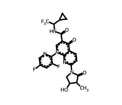 CC1C(=O)N(c2ccc3c(=O)c(C(=O)NC(C4CC4)C(F)(F)F)cn(-c4ncc(F)cc4F)c3n2)CC1O